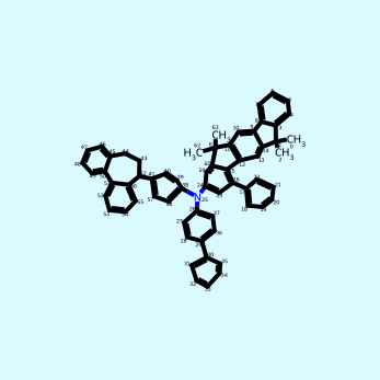 CC1(C)c2ccccc2-c2cc3c(cc21)-c1c(-c2ccccc2)cc(N(c2ccc(-c4ccccc4)cc2)c2ccc(C4CCc5ccccc5-c5ccccc54)cc2)cc1C3(C)C